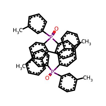 Cc1cccc(P(=O)(c2cccc(C)c2)c2ccc3ccccc3c2-c2c(P(=O)(c3cccc(C)c3)c3cccc(C)c3)ccc3ccccc23)c1